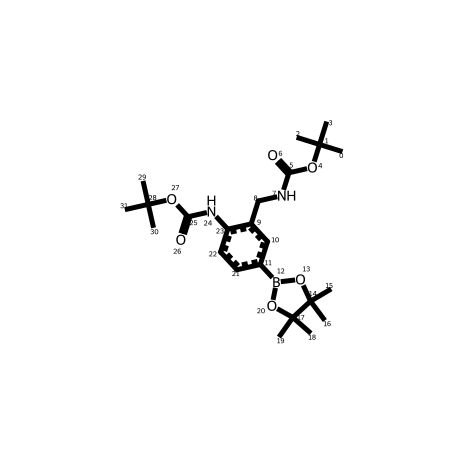 CC(C)(C)OC(=O)NCc1cc(B2OC(C)(C)C(C)(C)O2)ccc1NC(=O)OC(C)(C)C